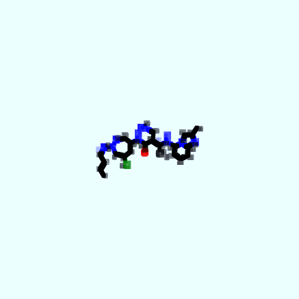 CC=C/C=N\N1C=C(Cl)C=C(NC(=O)/C(C=N)=C(/Nc2cccc3nc(C)cn23)C(F)(F)F)C=N1